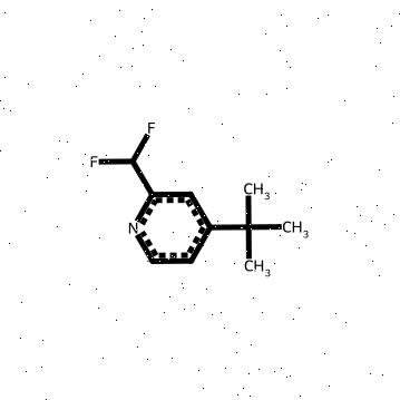 CC(C)(C)c1c[c]nc(C(F)F)c1